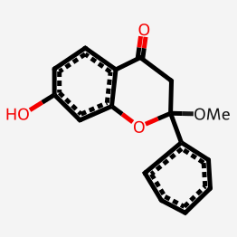 COC1(c2ccccc2)CC(=O)c2ccc(O)cc2O1